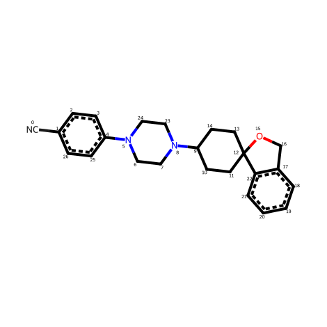 N#Cc1ccc(N2CCN(C3CCC4(CC3)OCc3ccccc34)CC2)cc1